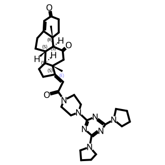 C[C@]12CCC(=O)C=C1CC[C@@H]1[C@@H]2C(=O)C[C@]2(C)/C(=C/C(=O)N3CCN(c4nc(N5CCCC5)nc(N5CCCC5)n4)CC3)CC[C@@H]12